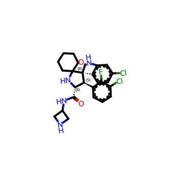 O=C(NC1CNC1)[C@@H]1NC2(CCCCC2)[C@@]2(C(=O)Nc3cc(Cl)ccc32)[C@H]1c1cccc(Cl)c1F